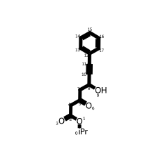 CC(C)OC(=O)CC(=O)CC(O)C#Cc1ccccc1